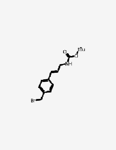 CC(C)(C)OC(=O)NC/C=C/c1ccc(CBr)cc1